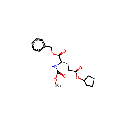 CC(C)(C)OC(=O)N[C@@H](CCC(=O)OC1CCCC1)C(=O)OCc1ccccc1